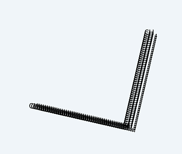 C.C.C.C.C.C.C.C.C.C.C.C.C.C.C.C.C.C.C.C.C.C.C.C.C.C.C.C.C.C.C.C.C.C.C.C.C.C.C.C.C.C.C.C.C.C.C.C.C.C.C.C.C.C.C.C.C.C.C.C.C.C.C.C.C.C.C.C.C.C.C.C.C.C.C.C.C.C.C.C.C.C.C.C.C.C.C.C.C.C.C.C.C.C.C.C.C.C.C.C